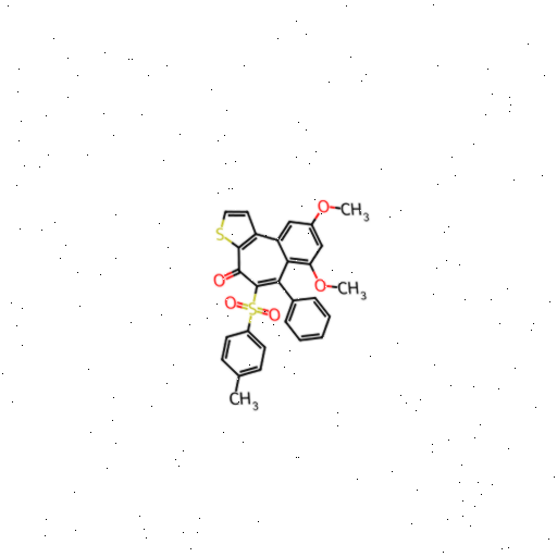 COc1cc(OC)c2c(-c3ccccc3)c(S(=O)(=O)c3ccc(C)cc3)c(=O)c3sccc3c2c1